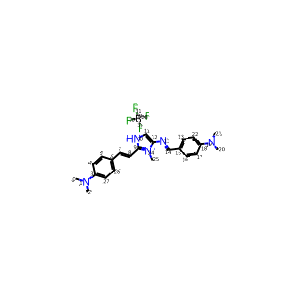 CN(C)c1ccc(C=Cc2[nH]cc(N=Cc3ccc(N(C)C)cc3)[n+]2C)cc1.F[B-](F)(F)F